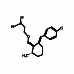 CC(C)N(CCON=C1C(=Cc2ccc(Cl)cc2)CCC[C@@H]1C)C(C)C